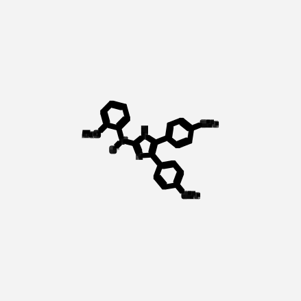 COc1ccc(-c2nc([S+]([O-])c3ccccc3OC)[nH]c2-c2ccc(OC)cc2)cc1